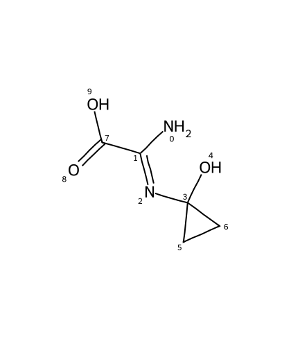 NC(=NC1(O)CC1)C(=O)O